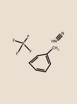 Cc1ccccc1.F[B-](F)(F)F.N#[NH+]